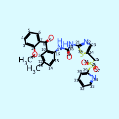 COc1ccccc1C(=O)c1cc(C)ccc1NC(=O)Nc1ncc(CS(=O)(=O)c2ccccn2)s1